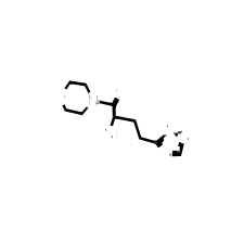 NC(CCc1nnco1)C(=O)N1CCOCC1